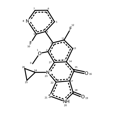 COc1c(-c2cccnc2F)c(F)cc2c(=O)c3c(=O)[nH]sc3n(C3CC3)c12